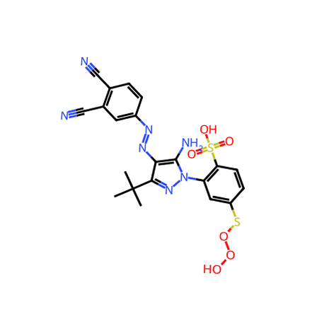 CC(C)(C)c1nn(-c2cc(SOOO)ccc2S(=O)(=O)O)c(N)c1N=Nc1ccc(C#N)c(C#N)c1